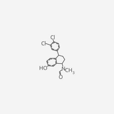 CN(C=O)C1CCC(c2ccc(Cl)c(Cl)c2)c2ccc(O)cc21